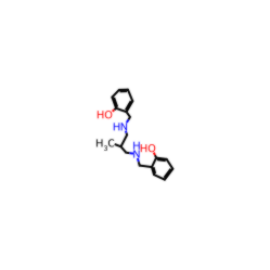 CC(CNCc1ccccc1O)CNCc1ccccc1O